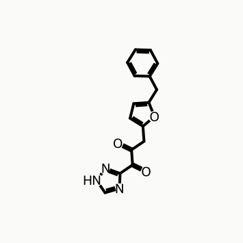 O=C(Cc1ccc(Cc2ccccc2)o1)C(=O)c1nc[nH]n1